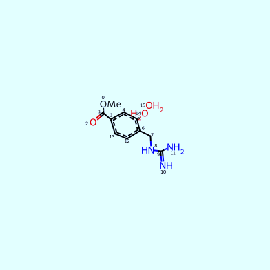 COC(=O)c1ccc(CNC(=N)N)cc1.O.O